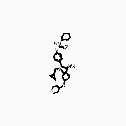 Nc1c(-c2ccc(OC(=O)NC3CCCCC3)cc2)n(CC2CC2)c2cc(OC3CCOCC3)ccc12